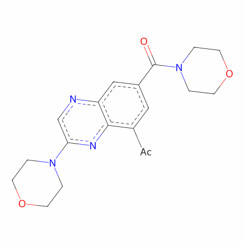 CC(=O)c1cc(C(=O)N2CCOCC2)cc2ncc(N3CCOCC3)nc12